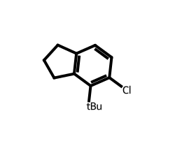 CC(C)(C)c1c(Cl)ccc2c1CCC2